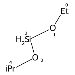 CCO[SiH2]OC(C)C